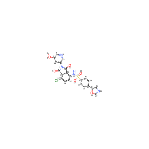 COc1cncc(N2C(=O)c3c(Cl)ccc(NS(=O)(=O)c4ccc(-c5cnco5)cc4)c3C2=O)c1